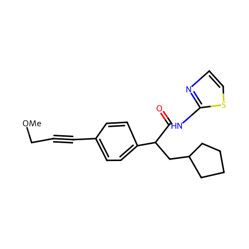 COCC#Cc1ccc(C(CC2CCCC2)C(=O)Nc2nccs2)cc1